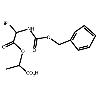 CC(OC(=O)C(NC(=O)OCc1ccccc1)C(C)C)C(=O)O